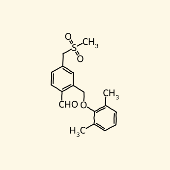 Cc1cccc(C)c1OCc1cc(CS(C)(=O)=O)ccc1C=O